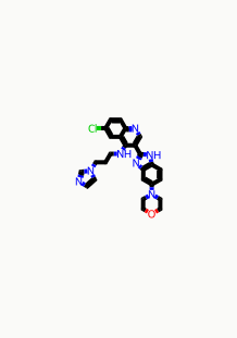 Clc1ccc2ncc(-c3nc4cc(N5CCOCC5)ccc4[nH]3)c(NCCCn3ccnc3)c2c1